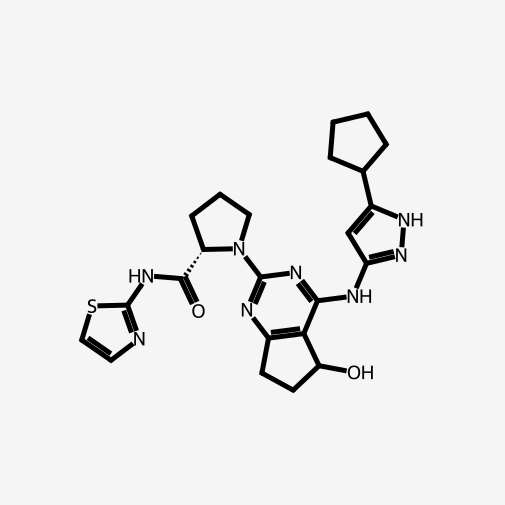 O=C(Nc1nccs1)[C@@H]1CCCN1c1nc2c(c(Nc3cc(C4CCCC4)[nH]n3)n1)C(O)CC2